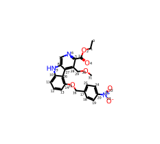 CCOC(=O)c1ncc2[nH]c3cccc(OCc4ccc([N+](=O)[O-])cc4)c3c2c1COC